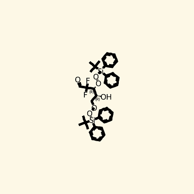 CC(C)(C)[Si](OOC[C@@H](O)[C@@H](OO[Si](c1ccccc1)(c1ccccc1)C(C)(C)C)C(F)(F)C=O)(c1ccccc1)c1ccccc1